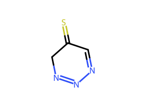 S=C1C=NN=NC1